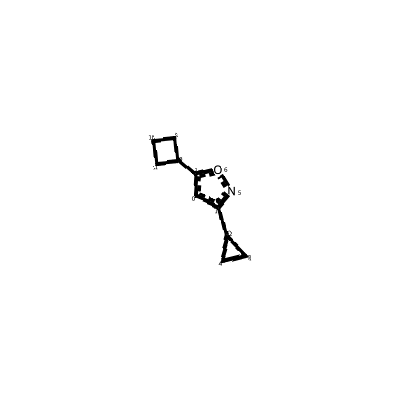 c1c(C2CC2)noc1C1CCC1